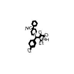 CCn1[nH]c(=O)c(Cl)c1C(c1ccc(Cl)cc1)N1CCC(C#N)(c2ccccc2)CC1